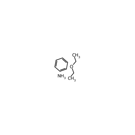 CCOCC.N.c1ccccc1